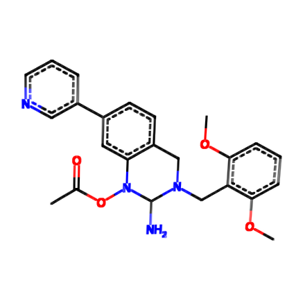 COc1cccc(OC)c1CN1Cc2ccc(-c3cccnc3)cc2N(OC(C)=O)C1N